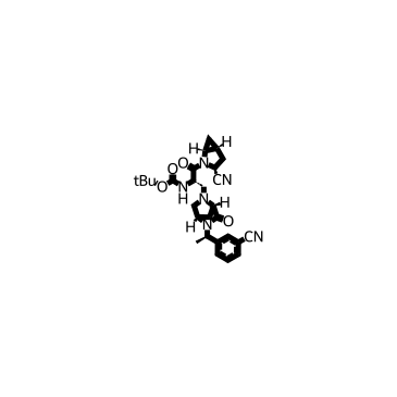 C[C@H](c1cccc(C#N)c1)N1C(=O)[C@@H]2C[C@H]1CN2C[C@H](NC(=O)OC(C)(C)C)C(=O)N1[C@H](C#N)C[C@@H]2C[C@@H]21